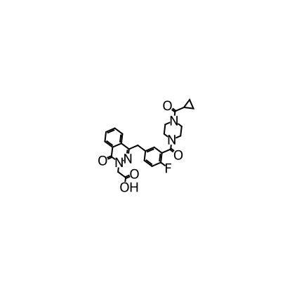 O=C(O)Cn1nc(Cc2ccc(F)c(C(=O)N3CCN(C(=O)C4CC4)CC3)c2)c2ccccc2c1=O